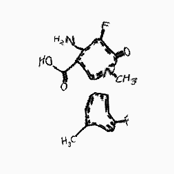 Cc1cccc(F)c1.Cn1cc(C(=O)O)c(N)c(F)c1=O